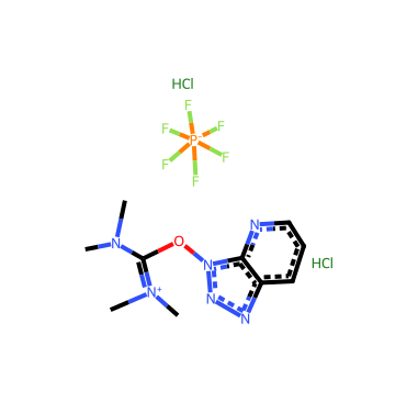 CN(C)C(On1nnc2cccnc21)=[N+](C)C.Cl.Cl.F[P-](F)(F)(F)(F)F